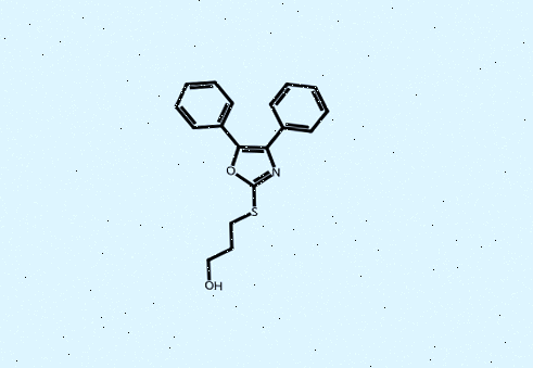 OCCCSc1nc(-c2ccccc2)c(-c2ccccc2)o1